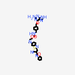 CN(CCOC(=O)NCc1ccc(COc2nc(N)nc3[nH]cnc23)cc1)c1ccc2nc(/C=C(\C#N)c3nc4ccccc4o3)sc2c1